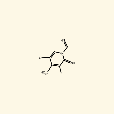 Cc1c(C(=O)O)c(Cl)cn(C=N)c1=N